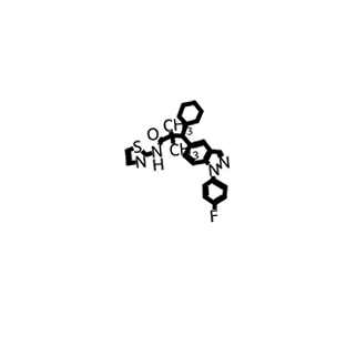 CC(C)(C(=O)Nc1nccs1)C(c1ccc2c(cnn2-c2ccc(F)cc2)c1)C1CCCCC1